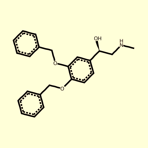 CNC[C@H](O)c1ccc(OCc2ccccc2)c(OCc2ccccc2)c1